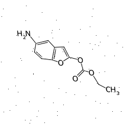 CCOC(=O)Oc1cc2cc(N)ccc2o1